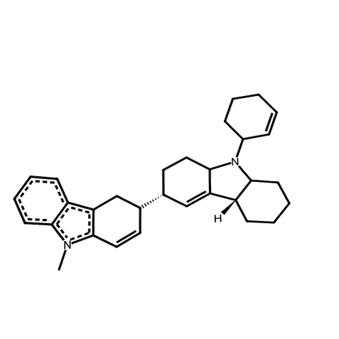 Cn1c2c(c3ccccc31)CC([C@H]1C=C3C(CC1)N(C1C=CCCC1)C1CCCC[C@H]31)C=C2